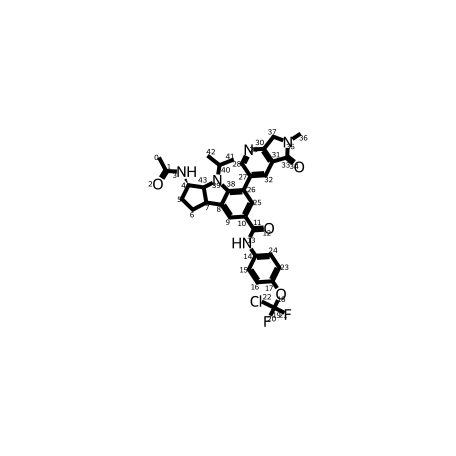 CC(=O)N[C@H]1CCC2c3cc(C(=O)Nc4ccc(OC(F)(F)Cl)cc4)cc(-c4cnc5c(c4)C(=O)N(C)C5)c3N(C(C)C)C21